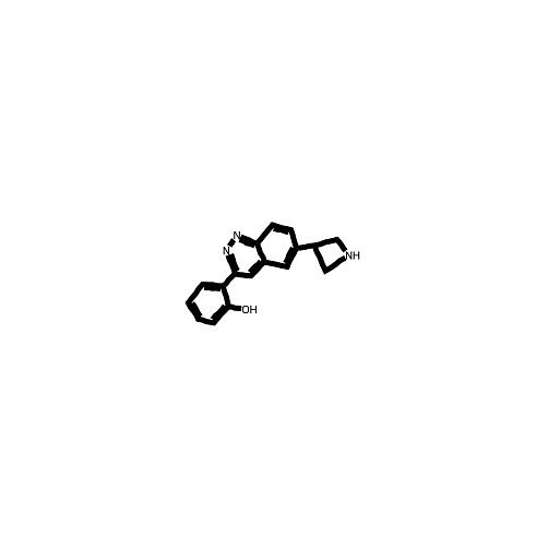 Oc1ccccc1-c1cc2cc(C3CNC3)ccc2nn1